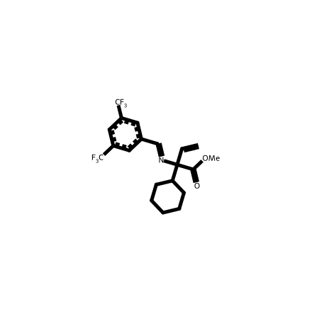 C=CC(/N=C/c1cc(C(F)(F)F)cc(C(F)(F)F)c1)(C(=O)OC)C1CCCCC1